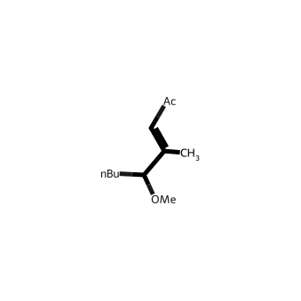 CCCCC(OC)C(C)=CC(C)=O